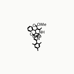 COC(=O)C1=C(C)NC(C)(c2nc(-c3c(C)cc(C)cc3C)cs2)C(C(=O)OC)C1c1ccccc1